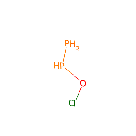 PPOCl